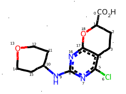 O=C(O)C1CCc2c(Cl)nc(NC3CCOCC3)nc2O1